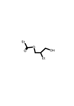 CCC(=O)OCC(CC)CO